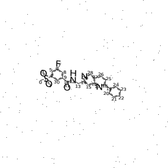 CS(=O)(=O)c1cc(F)cc(C(=O)NCc2cc3nc(-c4ccccc4)ccc3cn2)c1